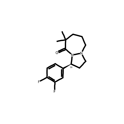 CC1(C)CCCN2CC[C@@H](c3ccc(F)c(F)c3)N2C1=O